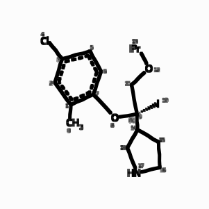 Cc1cc(Cl)ccc1O[C@@](I)(COC(C)C)C1CCNC1